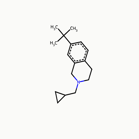 CC(C)(C)c1ccc2c(c1)CN(CC1CC1)CC2